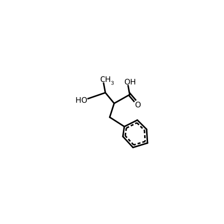 CC(O)C(Cc1ccccc1)C(=O)O